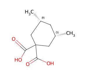 C[C@@H]1C[C@H](C)CC(C(=O)O)(C(=O)O)C1